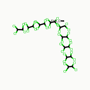 CCOC(C)=O.ClC(Cl)C(Cl)Cl.ClC(Cl)C(Cl)Cl.ClC(Cl)C(Cl)Cl.ClC(Cl)C(Cl)Cl.ClC(Cl)C(Cl)Cl.ClC(Cl)C(Cl)Cl.ClC(Cl)C(Cl)Cl.ClC(Cl)C(Cl)Cl.ClC(Cl)C(Cl)Cl